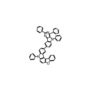 c1ccc(-c2nc(-c3ccccc3)c3c(n2)c2cc(-c4ccc5c(c4)c4c6c(ccc4n5-c4ccccc4)oc4ccccc46)ccc2n3-c2ccccc2)cc1